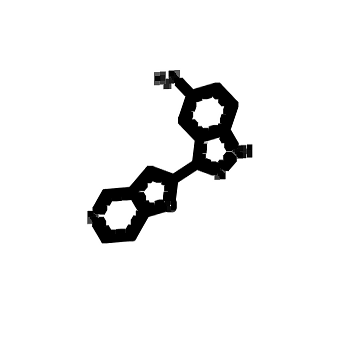 Nc1ccc2[nH]nc(-c3cc4cnccc4o3)c2c1